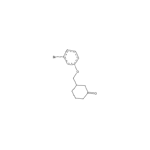 O=C1CCCC(COc2cccc(Br)c2)C1